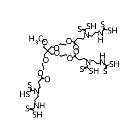 COCC(COCCOC(=O)CCN(CCNC(=S)S)C(=S)S)(COCCOC(=O)CCN(CCNC(=S)S)C(=S)S)COCCOC(=O)CCN(CCNC(=S)S)C(=S)S